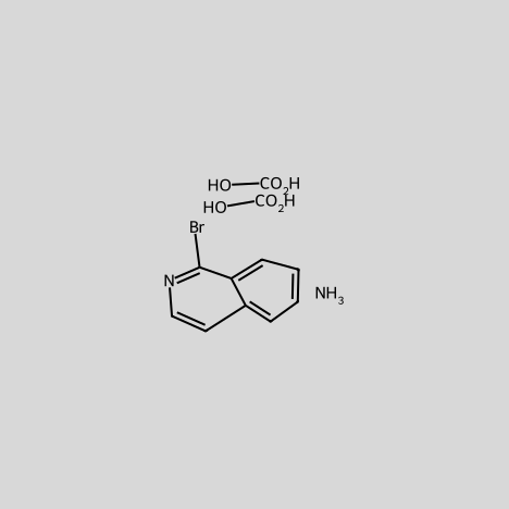 Brc1nccc2ccccc12.N.O=C(O)O.O=C(O)O